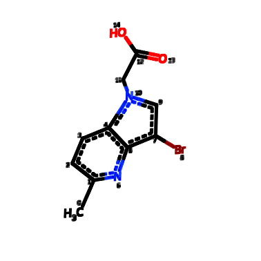 Cc1ccc2c(n1)c(Br)cn2CC(=O)O